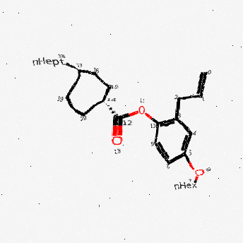 C=CCc1cc(OCCCCCC)ccc1OC(=O)[C@H]1CC[C@H](CCCCCCC)CC1